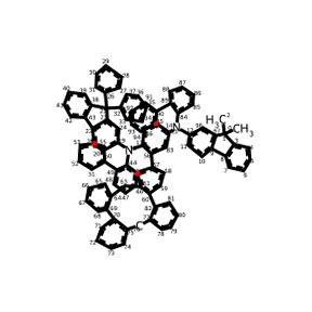 CC1(C)c2ccccc2-c2ccc(N(c3ccc(N(c4ccc5c(c4)C(c4ccccc4)(c4ccccc4)c4ccccc4-5)c4ccccc4-c4ccccc4)c(-c4ccc5c(c4)Cc4ccccc4-c4ccccc4Cc4ccccc4-5)c3)c3ccccc3-c3ccccc3)cc21